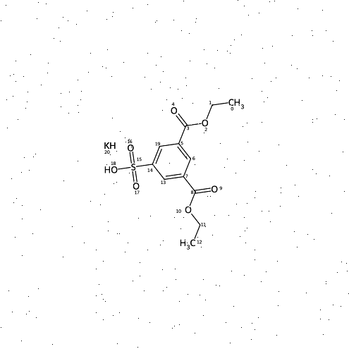 CCOC(=O)c1cc(C(=O)OCC)cc(S(=O)(=O)O)c1.[KH]